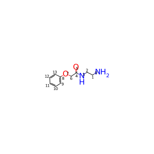 NCCNC(=O)COc1ccccc1